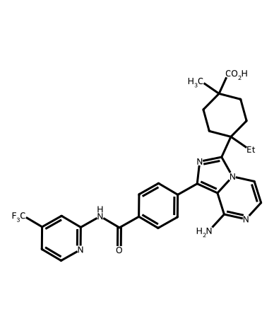 CCC1(c2nc(-c3ccc(C(=O)Nc4cc(C(F)(F)F)ccn4)cc3)c3c(N)nccn23)CCC(C)(C(=O)O)CC1